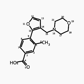 Cc1cc(C(=O)O)ccc1-c1occc1CN1CCOCC1